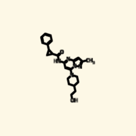 Cc1cc2nc(NC(=O)C3CC3c3ccccc3)cc(N3CCC(CCO)CC3)n2n1